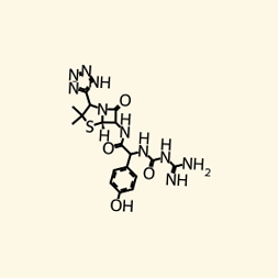 CC1(C)S[C@H]2C(NC(=O)C(NC(=O)NC(=N)N)c3ccc(O)cc3)C(=O)N2C1c1nnn[nH]1